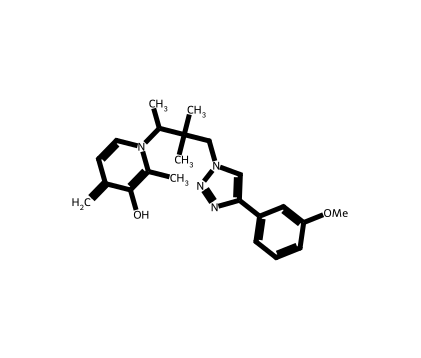 C=C1C=CN(C(C)C(C)(C)Cn2cc(-c3cccc(OC)c3)nn2)C(C)=C1O